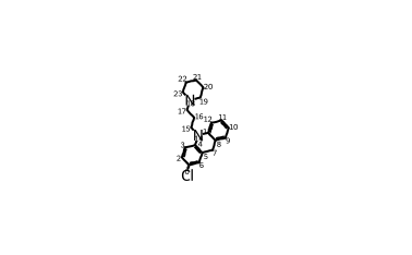 Clc1ccc2c(c1)Cc1ccccc1N2CCCN1CCCCC1